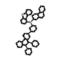 c1ccc(-c2c(-c3ccccc3)c3cc(-c4cccc(N(c5ccc6c(ccc7ccccc76)c5)c5cccc6oc7ccccc7c56)c4)ccc3c3ccccc23)cc1